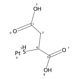 O=C(O)CC(S)C(=O)O.[Pt]